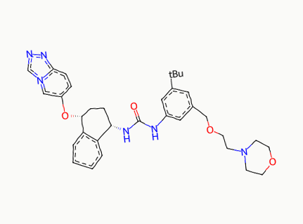 CC(C)(C)c1cc(COCCN2CCOCC2)cc(NC(=O)N[C@H]2CC[C@@H](Oc3ccc4nncn4c3)c3ccccc32)c1